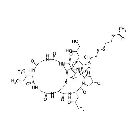 CC[C@H](C)[C@@H]1NC(=O)CNC(=O)C2Cc3c([nH]c4cc(OCCSSCCNC(C)=O)ccc34)SCC(NC(=O)CNC1=O)C(=O)N[C@@H](CC(N)=O)C(=O)N1CC(O)C[C@H]1C(=O)N[C@@H]([C@@H](C)[C@@H](O)CO)C(=O)N2